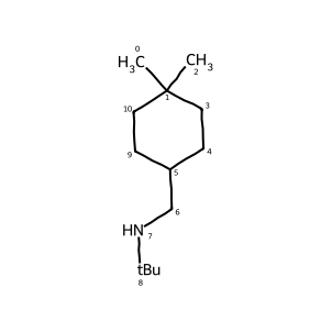 CC1(C)CCC(CNC(C)(C)C)CC1